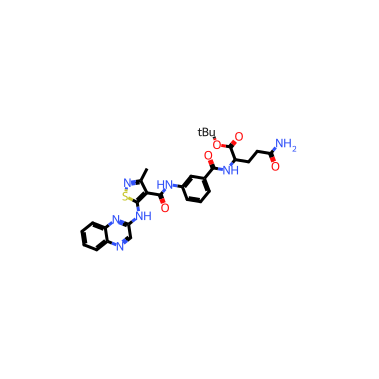 Cc1nsc(Nc2cnc3ccccc3n2)c1C(=O)Nc1cccc(C(=O)NC(CCC(N)=O)C(=O)OC(C)(C)C)c1